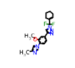 COc1cc(-c2cn(C(F)(F)C3=CCCCC3)nn2)ccc1-n1cnc(C)c1